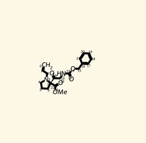 C=CCN1CCC[C@@]1(C(=O)CNC(=O)OCc1ccccc1)C(=O)OC